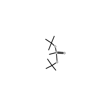 CC(C)(C)OP(C)(=O)OC(C)(C)C